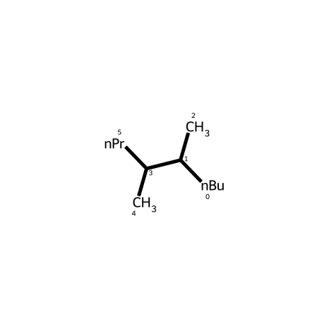 [CH2]CCCC(C)C(C)CCC